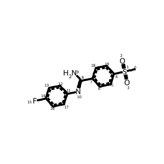 CS(=O)(=O)c1ccc(C(N)=Nc2ccc(F)cc2)cc1